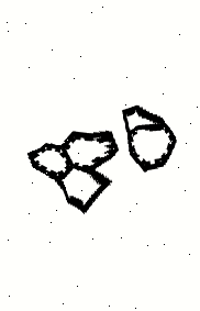 C1=Cc2cccc3cccc(c23)C1.C1=Cc2ccccc21